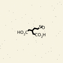 O=[S+]CCC(CC(=O)O)CC(=O)O